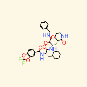 O=C(NCc1ccccc1)C(=O)[C@H](C[C@@H]1CCCNC1=O)NC(=O)[C@H](CC1CCCCC1)NC(=O)c1ccc2c(c1)OC(F)(F)O2